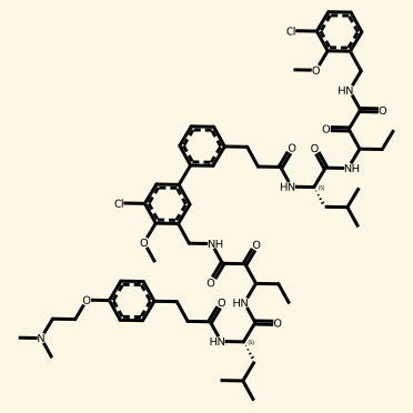 CCC(NC(=O)[C@H](CC(C)C)NC(=O)CCc1cccc(-c2cc(Cl)c(OC)c(CNC(=O)C(=O)C(CC)NC(=O)[C@H](CC(C)C)NC(=O)CCc3ccc(OCCN(C)C)cc3)c2)c1)C(=O)C(=O)NCc1cccc(Cl)c1OC